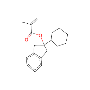 C=C(C)C(=O)OC1(C2CCCCC2)Cc2ccccc2C1